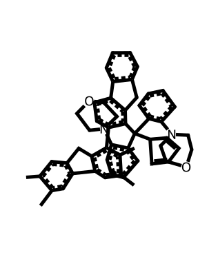 Cc1cc2c(cc1C)-c1cc(C)c(C)c(-c3ccc4c(c3C(c3ccccc3N3CCOCC3)(c3ccccc3N3CCOCC3)C3C=CC=C3)Cc3ccccc3-4)c1C2